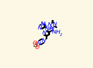 C=C(N)/N=C(C)\N=C(/N)c1cc(CN2CCN(S(C)(=O)=O)CC2)cnc1Nc1cncnc1